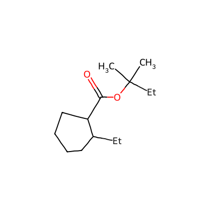 CCC1CCCCC1C(=O)OC(C)(C)CC